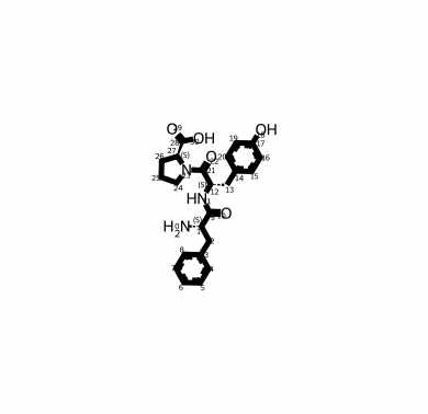 N[C@@H](Cc1ccccc1)C(=O)N[C@@H](Cc1ccc(O)cc1)C(=O)N1CCC[C@H]1C(=O)O